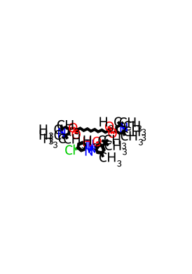 CN1C(C)(C)CC(OC(=O)CCCCCCCCC(=O)OC2CC(C)(C)N(C)C(C)(C)C2)CC1(C)C.Cc1cc(-n2nc3ccc(Cl)cc3n2)c(O)c(C(C)(C)C)c1